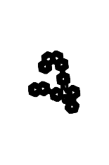 c1cc(-c2ccc3ccccc3c2)cc(N(c2ccc(-c3ccc4ccc5ccc6ccccc6c5c4c3)cc2)c2cccc3c2oc2ccccc23)c1